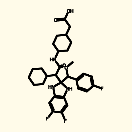 COC(c1ccc(F)cc1)C1(C(C(=O)NC2CCC(CC(=O)O)CC2)C2CCCCC2)Nc2cc(F)c(F)cc2N1